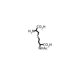 CC(=O)NC(CCSCC(N)C(=O)O)C(=O)O